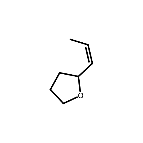 C/C=C\C1CCCO1